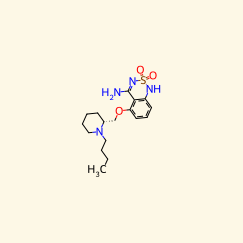 CCCCN1CCCC[C@@H]1COc1cccc2c1C(N)=NS(=O)(=O)N2